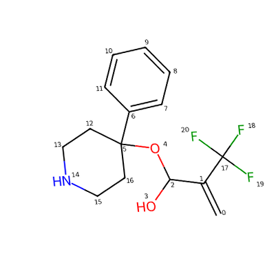 C=C(C(O)OC1(c2ccccc2)CCNCC1)C(F)(F)F